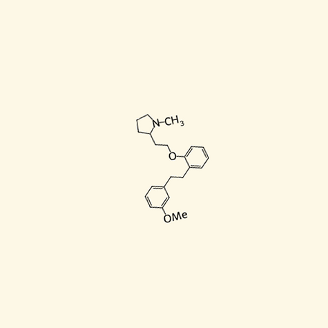 COc1cccc(CCc2ccccc2OCCC2CCCN2C)c1